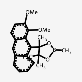 COc1ccc2cc3ccccc3c(C3(C)OB(C)OC3(C)C)c2c1OC